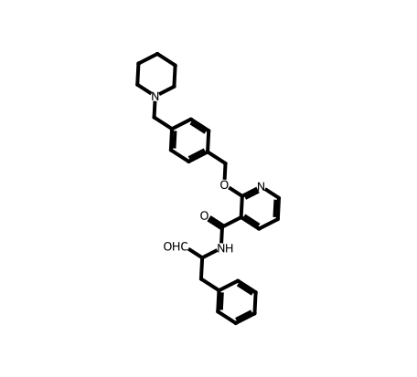 O=CC(Cc1ccccc1)NC(=O)c1cccnc1OCc1ccc(CN2CCCCC2)cc1